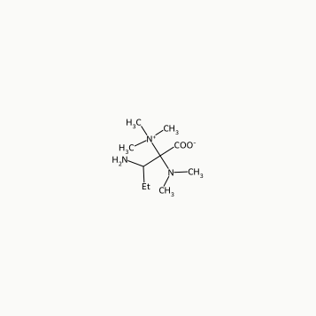 CCC(N)C(C(=O)[O-])(N(C)C)[N+](C)(C)C